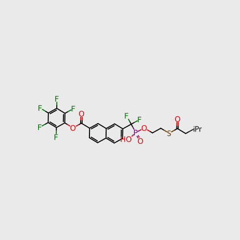 CC(C)CC(=O)SCCOP(=O)(O)C(F)(F)c1ccc2ccc(C(=O)Oc3c(F)c(F)c(F)c(F)c3F)cc2c1